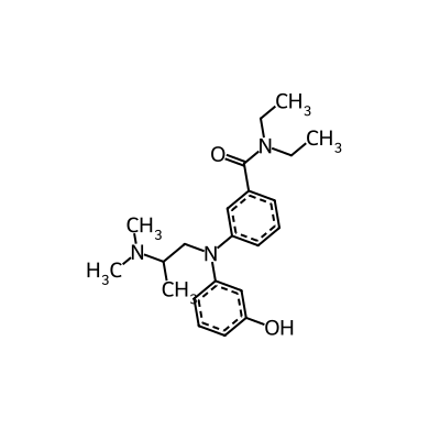 CCN(CC)C(=O)c1cccc(N(CC(C)N(C)C)c2cccc(O)c2)c1